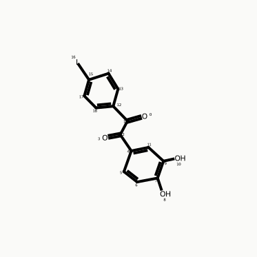 O=C(C(=O)c1ccc(O)c(O)c1)c1ccc(I)cc1